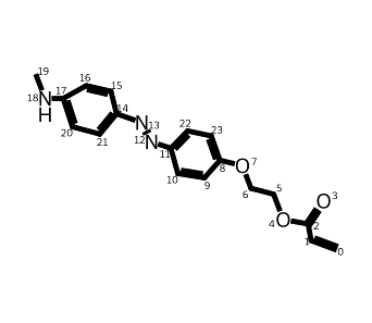 C=CC(=O)OCCOc1ccc(/N=N/c2ccc(NC)cc2)cc1